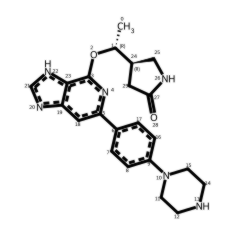 C[C@@H](Oc1nc(-c2ccc(N3CCNCC3)cc2)cc2nc[nH]c12)[C@H]1CNC(=O)C1